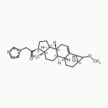 COC1C2C3=CC[C@@H]4[C@H](CC[C@]5(C)[C@@H](C(=O)Cn6ccnc6)CC[C@@H]45)[C@H]3CC[C@]12O